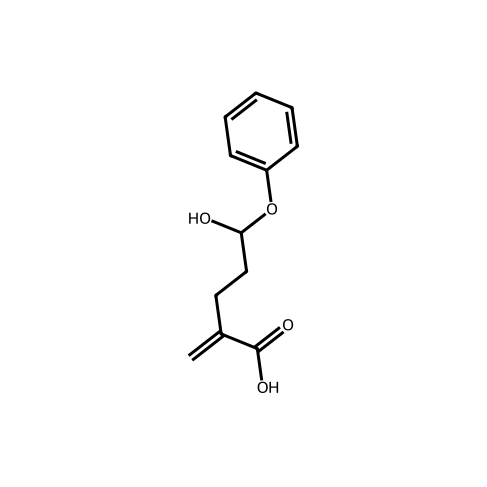 C=C(CCC(O)Oc1ccccc1)C(=O)O